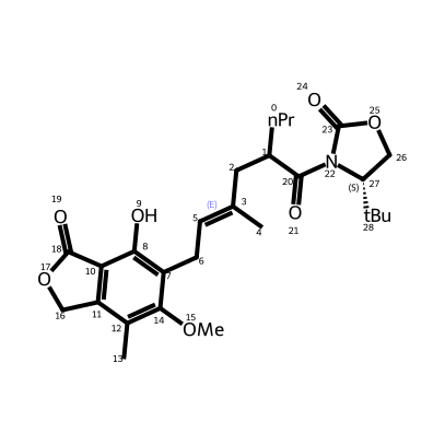 CCCC(C/C(C)=C/Cc1c(O)c2c(c(C)c1OC)COC2=O)C(=O)N1C(=O)OC[C@@H]1C(C)(C)C